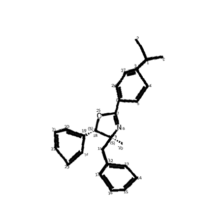 CC(C)c1ccc(C2=N[C@@](C)(Cc3ccccc3)[C@H](c3ccccc3)O2)cc1